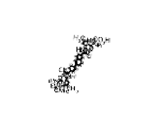 COC(=O)N[C@H](C(=O)N1CC(C)CC1c1nc(Cl)c(-c2ccc(-c3ccc4cc(-c5[nH]c([C@@H]6C[C@H](C)CN6C(=O)[C@@H](NC(=O)O)C(C)C)nc5Cl)ccc4c3)cc2)[nH]1)C(C)C